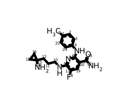 Cc1ccc(Nc2nc(NCCCC3(N)CC3)c(F)cc2C(N)=O)cc1